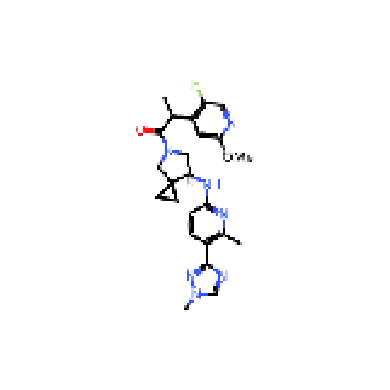 COc1cc(C(C)C(=O)N2C[C@@H](Nc3ccc(-c4ncn(C)n4)c(C)n3)C3(CC3)C2)c(F)cn1